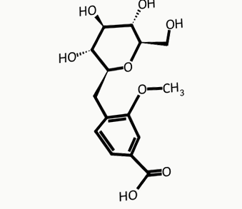 COc1cc(C(=O)O)ccc1C[C@@H]1O[C@H](CO)[C@@H](O)[C@H](O)[C@H]1O